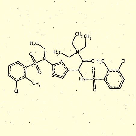 CCN(c1nc(C(NS(=O)(=O)c2cccc(Cl)c2C)C(=O)[N+](CC)(CC)CC)cs1)S(=O)(=O)c1cccc(Cl)c1C